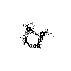 CCn1nc(C)c2c1C(=O)Nc1nc3cc(C(N)=O)cc4c3n1[C@@H](CCCn1c(nc3cc(C(N)=O)ccc31)NC(=O)c1cc(C)nn1CCC/C=C/2)CO4